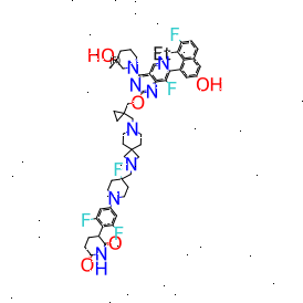 CCc1c(F)ccc2cc(O)cc(-c3ncc4c(N5CCC[C@@](C)(O)C5)nc(OCC5(CN6CCC7(CC6)CN(CC6(F)CCN(c8cc(F)c(C9CCC(=O)NC9=O)c(F)c8)CC6)C7)CC5)nc4c3F)c12